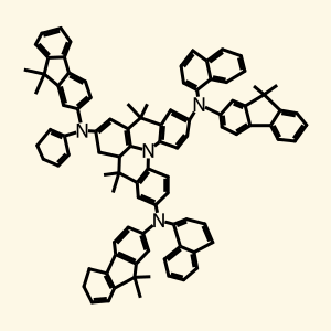 CC1(C)C2=C(CCC=C2)c2ccc(N(c3ccc4c(c3)C(C)(C)C3CC(N(C5=CCCC=C5)c5ccc6c(c5)C(C)(C)c5ccccc5-6)=CC5=C3N4c3ccc(N(c4ccc6c(c4)C(C)(C)c4ccccc4-6)c4cccc6ccccc46)cc3C5(C)C)c3cccc4ccccc34)cc21